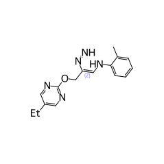 CCc1cnc(OC/C(=C/Nc2ccccc2C)N=N)nc1